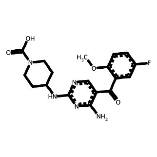 COc1ccc(F)cc1C(=O)c1cnc(NC2CCN(C(=O)O)CC2)nc1N